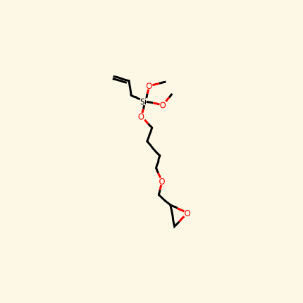 C=CC[Si](OC)(OC)OCCCCOCC1CO1